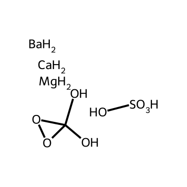 O=S(=O)(O)O.OC1(O)OO1.[BaH2].[CaH2].[MgH2]